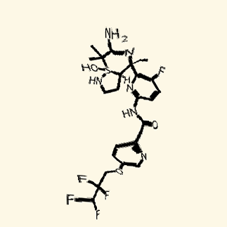 CC1(C)C(N)=N[C@](C)(c2nc(NC(=O)c3ccc(OCC(F)(F)C(F)F)cn3)ccc2F)[C@H]2CCNS21O